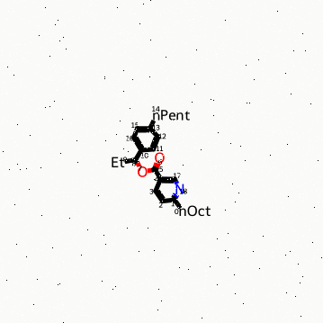 CCCCCCCCc1ccc(C(=O)OC(CC)c2ccc(CCCCC)cc2)cn1